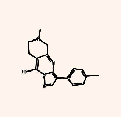 Cc1ccc(-c2cnn3c(S)c4c(nc23)CN(C)CC4)cc1